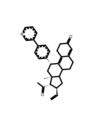 C=C[C@@H]1CC2C3CCC4=CC(=O)CCC4=C3[C@@H](c3ccc(-c4cccnc4)cc3)C[C@]2(C)[C@H]1C(C)=O